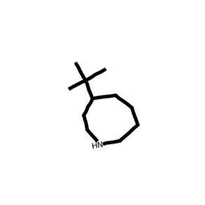 CC(C)(C)C1CCCCNCC1